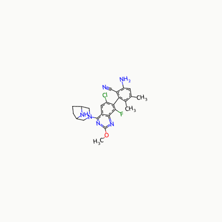 COc1nc(N2CC3CCC(C2)N3)c2cc(Cl)c(-c3c(C)c(C)cc(N)c3C#N)c(F)c2n1